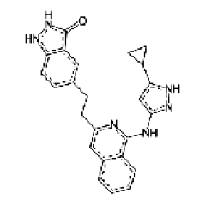 O=c1[nH][nH]c2ccc(CCc3cc4ccccc4c(Nc4cc(C5CC5)[nH]n4)n3)cc12